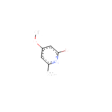 CSc1cc(OC(F)(F)F)cc(Br)n1